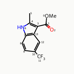 COC(=O)c1c(C)[nH]c2ccc(C(F)(F)F)cc12